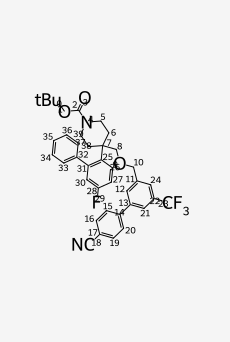 CC(C)(C)OC(=O)N1CCC(COCc2cc(-c3ccc(C#N)cc3)cc(C(F)(F)F)c2)(c2ccc(F)cc2-c2ccccc2)CC1